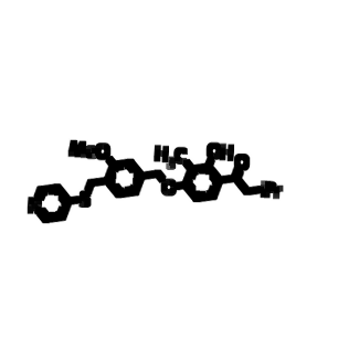 COc1cc(COc2ccc(C(=O)CC(C)C)c(O)c2C)ccc1CSc1ccncc1